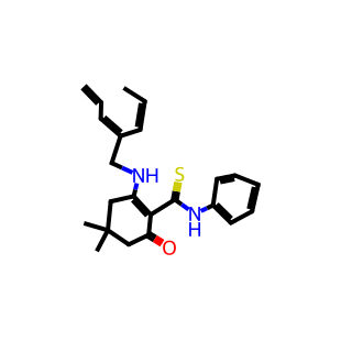 C=C/C=C(\C=C/C)CNC1=C(C(=S)Nc2ccccc2)C(=O)CC(C)(C)C1